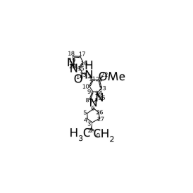 C=C(C)[C@H]1CC[C@H](n2cc3cc(NC(=O)c4cccnn4)c(OC)cc3n2)CC1